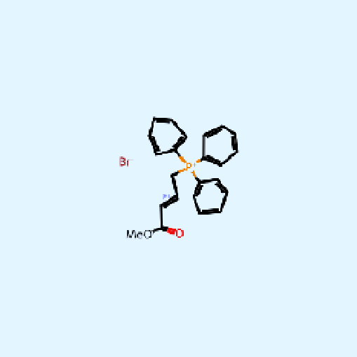 COC(=O)/C=C/C[P+](c1ccccc1)(c1ccccc1)c1ccccc1.[Br-]